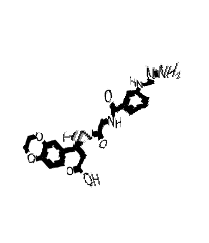 NN=CNc1cccc(C(=O)NCC(=O)NC(CC(=O)O)c2ccc3c(c2)OCCO3)c1